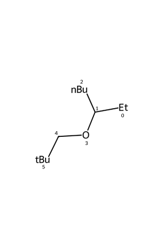 [CH2]CC(CCCC)OCC(C)(C)C